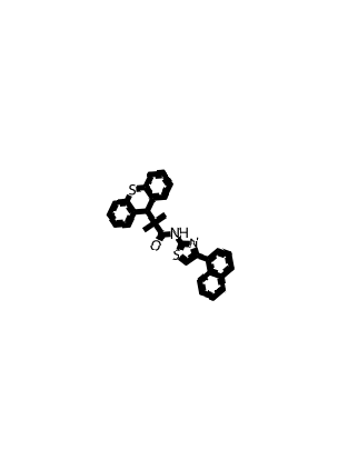 CC(C)(C(=O)Nc1nc(-c2cccc3ccccc23)cs1)C1c2ccccc2Sc2ccccc21